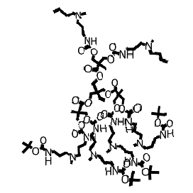 CCCCN(C)CCCNC(=O)OCC(C)(COC(=O)NCCCN(C)CCCC)C(=O)OCC(CC)(COC(=O)C(C)(COC(=O)NCCCN(C)CCCNC(=O)OC(C)(C)C)COC(=O)NCCCN(C)CCCNC(=O)OC(C)(C)C)COC(=O)C(C)(COC(=O)NCCCN(C)CCCNC(=O)OC(C)(C)C)COC(=O)NCCCN(C)CCCNC(=O)OC(C)(C)C